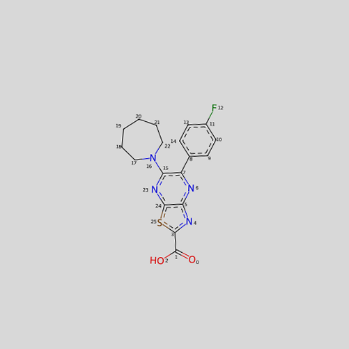 O=C(O)c1nc2nc(-c3ccc(F)cc3)c(N3CCCCCC3)nc2s1